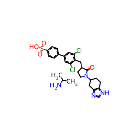 CC(C)N.O=C1[C@H](Cc2c(Cl)cc(-c3ccc(S(=O)(=O)O)cc3)cc2Cl)CCN1C1CCc2[nH]cnc2C1